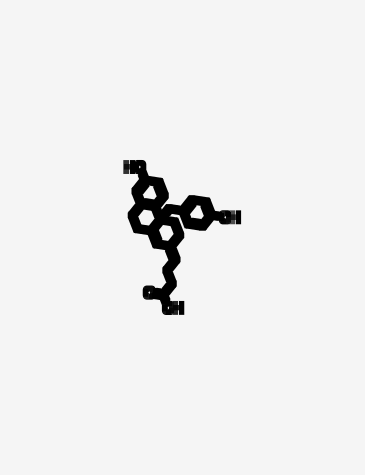 O=C(O)CCC=C1C=C2CCc3cc(O)ccc3C2(Cc2ccc(O)cc2)CC1